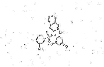 COc1cc(O)cc(Nc2nc3ncccc3nc2NS(=O)(=O)c2cccc(N)c2)c1